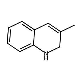 CC1=Cc2ccccc2NC1